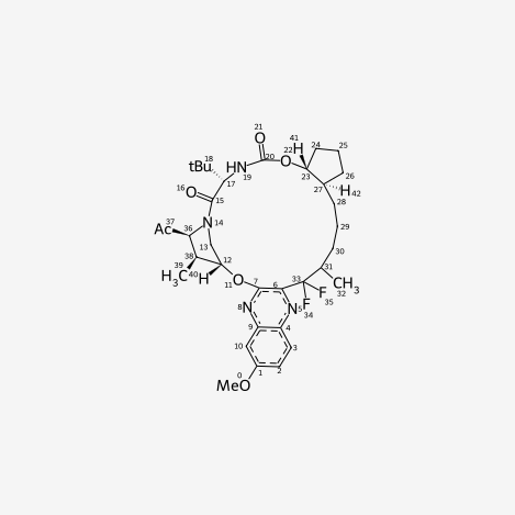 COc1ccc2nc3c(nc2c1)O[C@H]1CN(C(=O)[C@H](C(C)(C)C)NC(=O)O[C@@H]2CCC[C@H]2CCCC(C)C3(F)F)[C@H](C(C)=O)[C@@H]1C